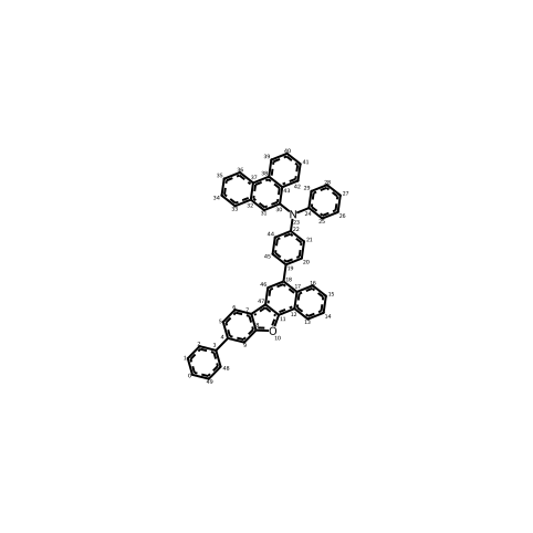 c1ccc(-c2ccc3c(c2)oc2c4ccccc4c(-c4ccc(N(c5ccccc5)c5cc6ccccc6c6ccccc56)cc4)cc32)cc1